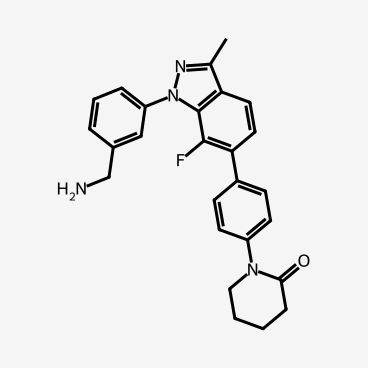 Cc1nn(-c2cccc(CN)c2)c2c(F)c(-c3ccc(N4CCCCC4=O)cc3)ccc12